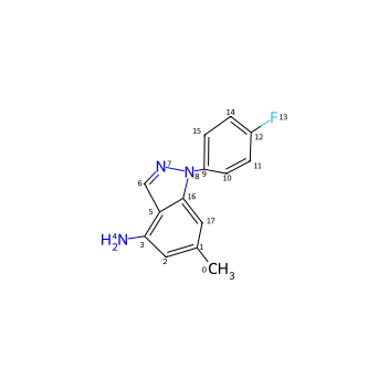 Cc1cc(N)c2cnn(-c3ccc(F)cc3)c2c1